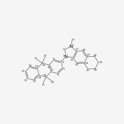 CN1CN(c2ccc3c(c2)C(C)(C)c2ccccc2C3(C)C)c2cc3c(cc21)CCCC3